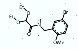 CCOC(OCC)C(=O)NCc1cc(Br)ccc1OC